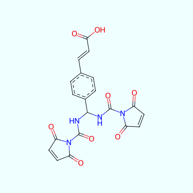 O=C(O)/C=C/c1ccc(C(NC(=O)N2C(=O)C=CC2=O)NC(=O)N2C(=O)C=CC2=O)cc1